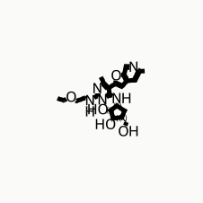 CCOCCNc1nc(C)c(-c2cc3cc(C)ncc3o2)c(N[C@@H]2C[C@H](CO)[C@@H](O)[C@H]2O)n1